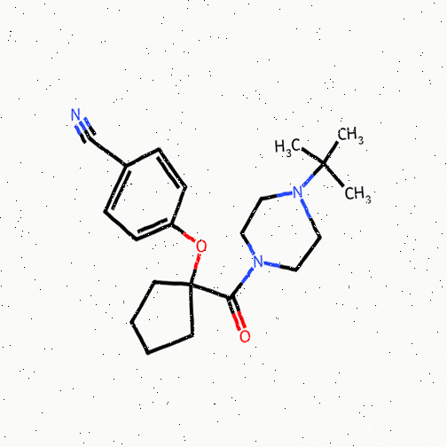 CC(C)(C)N1CCN(C(=O)C2(Oc3ccc(C#N)cc3)CCCC2)CC1